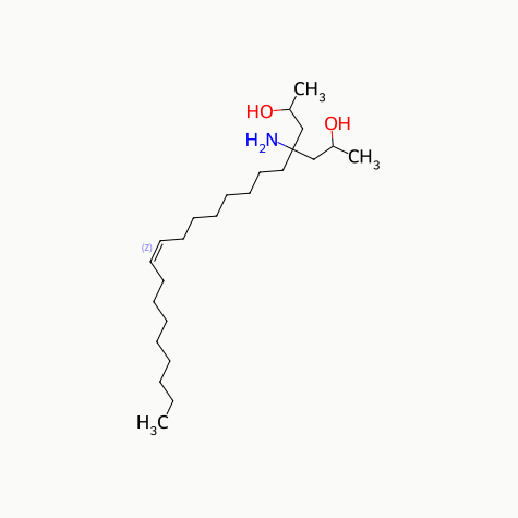 CCCCCCCC/C=C\CCCCCCCC(N)(CC(C)O)CC(C)O